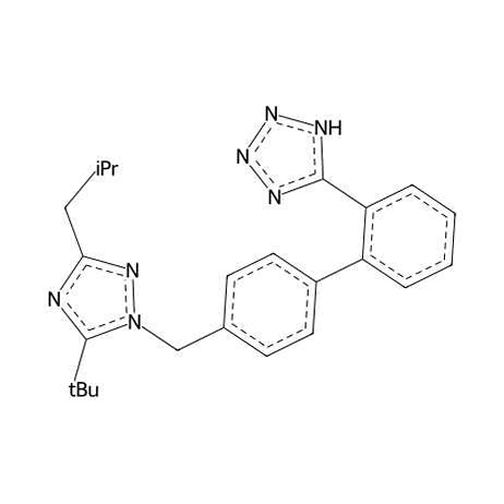 CC(C)Cc1nc(C(C)(C)C)n(Cc2ccc(-c3ccccc3-c3nnn[nH]3)cc2)n1